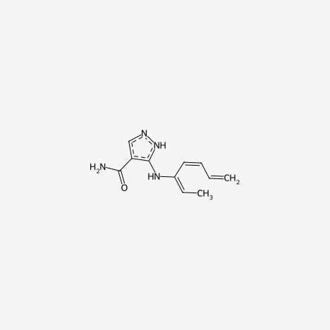 C=C/C=C\C(=C/C)Nc1[nH]ncc1C(N)=O